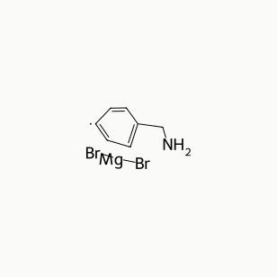 NCc1cc[c]cc1.[Br][Mg][Br]